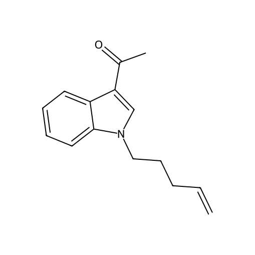 C=CCCCn1cc(C(C)=O)c2ccccc21